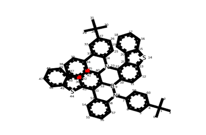 CC(C)(C)c1ccc(N2B3c4ccc5sc6ccccc6c5c4N(c4ccc(C(C)(C)C)cc4-c4ccccc4)c4cc5c(sc6ccccc65)c(c43)-c3ccccc32)cc1